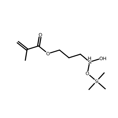 C=C(C)C(=O)OCCC[SiH](O)O[Si](C)(C)C